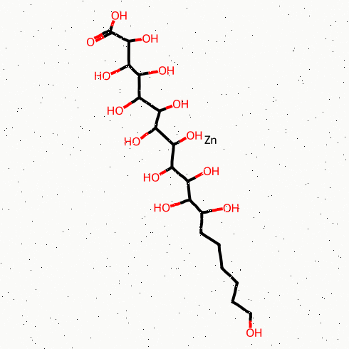 O=C(O)C(O)C(O)C(O)C(O)C(O)C(O)C(O)C(O)C(O)C(O)C(O)CCCCCCO.[Zn]